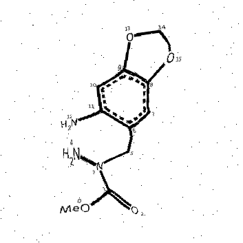 COC(=O)N(N)Cc1cc2c(cc1N)OCO2